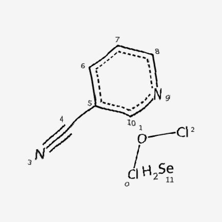 ClOCl.N#Cc1cccnc1.[SeH2]